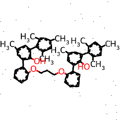 Cc1cc(C)c(-c2cc(C)cc(-c3ccccc3OCCCOc3ccccc3-c3cc(C)cc(-c4c(C)cc(C)cc4C)c3O)c2O)c(C)c1